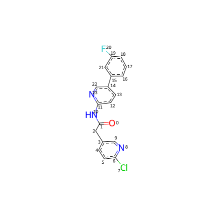 O=C(Cc1ccc(Cl)nc1)Nc1ccc(-c2cccc(F)c2)cn1